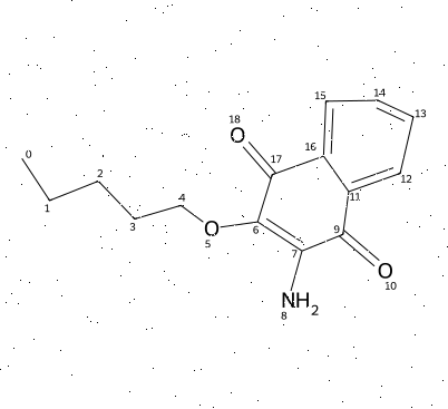 CCCCCOC1=C(N)C(=O)c2ccccc2C1=O